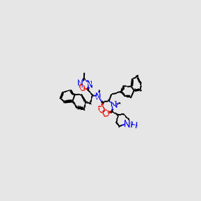 Cc1noc(C(Cc2ccc3ccccc3c2)N(C)C(=O)C(Cc2ccc3ccccc3c2)N(C)C(=O)C2CCNCC2)n1